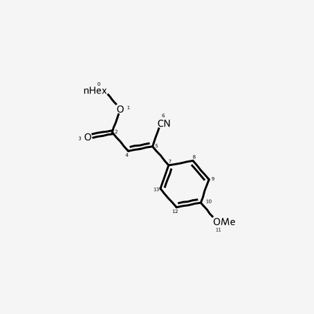 CCCCCCOC(=O)C=C(C#N)c1ccc(OC)cc1